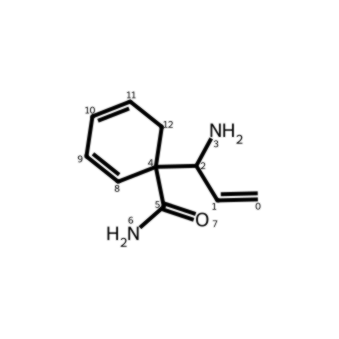 C=CC(N)C1(C(N)=O)C=CC=CC1